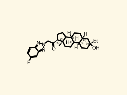 CC[C@@]1(O)CC[C@H]2[C@H](CC[C@@H]3[C@@H]2CC[C@]2(C)[C@@H](C(=O)Cn4nc5ccc(F)cc5n4)CC[C@@H]32)C1